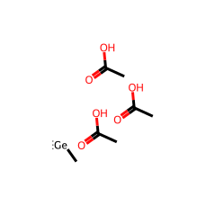 CC(=O)O.CC(=O)O.CC(=O)O.[CH3][Ge]